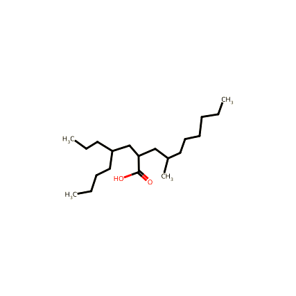 CCCCCCC(C)CC(CC(CCC)CCCC)C(=O)O